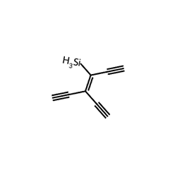 C#CC([SiH3])=C(C#C)C#C